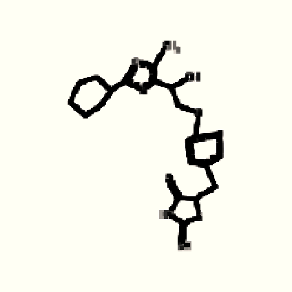 Cc1oc(C2CCCCC2)nc1C(O)COc1ccc(CC2SC(=N)NC2=O)cc1